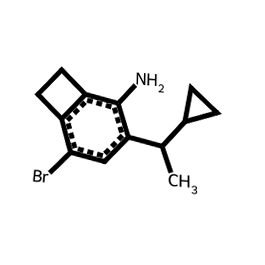 CC(c1cc(Br)c2c(c1N)CC2)C1CC1